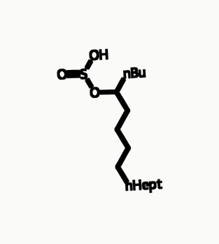 CCCCCCCCCCCC(CCCC)OS(=O)O